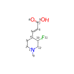 CN1CCC(/C=C/C(=O)O)C(F)C1